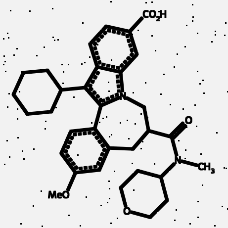 COc1ccc2c(c1)CC(C(=O)N(C)C1CCOCC1)Cn1c-2c(C2CCCCC2)c2ccc(C(=O)O)cc21